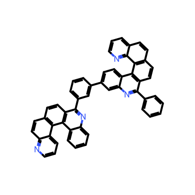 c1ccc(-c2nc3cc(-c4cccc(-c5nc6ccccc6c6c5ccc5ccc7ncccc7c56)c4)ccc3c3c2ccc2ccc4cccnc4c23)cc1